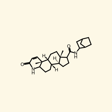 C[C@]12C=CC(=O)NC1CC[C@@H]1[C@H]2CC[C@]2(C)C(C(=O)NC3CC4CCC3C4)CC[C@@H]12